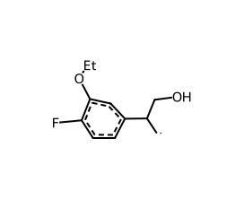 [CH2]C(CO)c1ccc(F)c(OCC)c1